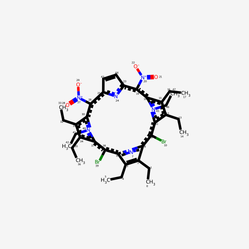 CCC1=C(CC)c2nc1c(Br)c1c(CC)c(CC)c(c([N+](=O)[O-])c3nc(c([N+](=O)[O-])c4c(CC)c(CC)c(c2Br)n4CC)C=C3)n1CC